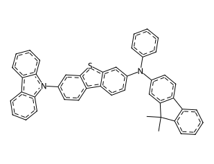 CC1(C)c2ccccc2-c2ccc(N(c3ccccc3)c3ccc4c(c3)sc3cc(-n5c6ccccc6c6ccccc65)ccc34)cc21